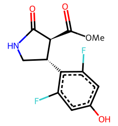 COC(=O)[C@@H]1C(=O)NC[C@H]1c1c(F)cc(O)cc1F